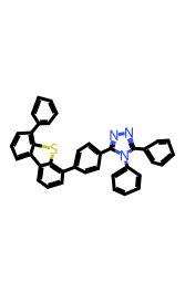 c1ccc(-c2cccc3c2sc2c(-c4ccc(-c5nnc(-c6ccccc6)n5-c5ccccc5)cc4)cccc23)cc1